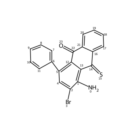 Nc1c(Br)cc(-c2ccccc2)c2c1C(=S)c1ccccc1C2=O